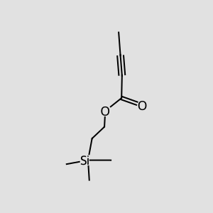 CC#CC(=O)OCC[Si](C)(C)C